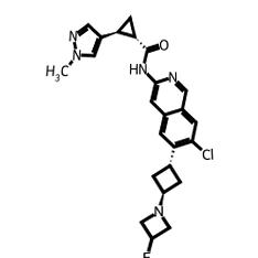 Cn1cc([C@H]2C[C@@H]2C(=O)Nc2cc3cc([C@H]4C[C@H](N5CC(F)C5)C4)c(Cl)cc3cn2)cn1